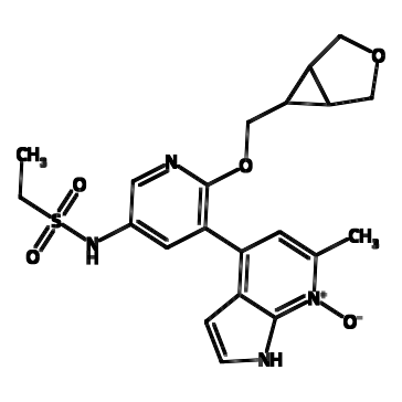 CCS(=O)(=O)Nc1cnc(OCC2C3COCC32)c(-c2cc(C)[n+]([O-])c3[nH]ccc23)c1